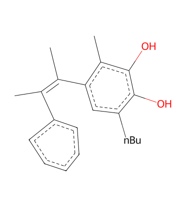 CCCCc1cc(C(C)=C(C)c2ccccc2)c(C)c(O)c1O